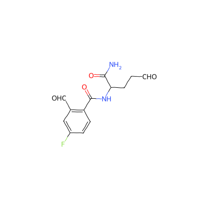 NC(=O)C(CCC=O)NC(=O)c1ccc(F)cc1C=O